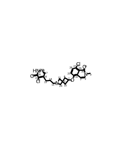 Cn1ccc2c(OC3CC4(C3)CN(CCCc3cn[nH]c(=O)c3Cl)C4)ccc(Cl)c2c1=O